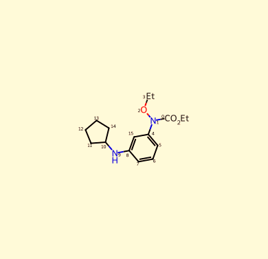 CCOC(=O)N(OCC)c1cccc(NC2CCCC2)c1